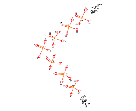 O=P([O-])([O-])[O-].O=P([O-])([O-])[O-].O=P([O-])([O-])[O-].O=P([O-])([O-])[O-].O=P([O-])([O-])[O-].O=P([O-])([O-])[O-].O=P([O-])([O-])[O-].[Gd+3].[Gd+3].[Gd+3].[U+4].[U+4].[U+4]